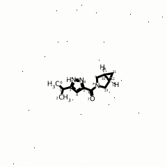 CC(C)c1cc(C(=O)N2C[C@H]3C[C@H]3C2)n[nH]1